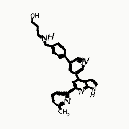 Cc1cccc(-c2cc(-c3cncc(-c4ccc(CNCCCO)cc4)c3)c3cc[nH]c3n2)n1